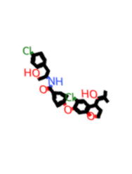 CC(C)=C(O)C1CCOc2cc(Oc3ccc(C(=O)NC(CO)Cc4ccc(Cl)cc4)cc3)c(Cl)cc21